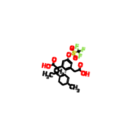 C=C(C)[C@@H]1CCC(C)=C[C@H]1c1c(CC(=O)O)cc(OS(=O)(=O)C(F)(F)F)cc1CC(=O)O